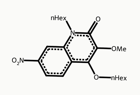 CCCCCCOc1c(OC)c(=O)n(CCCCCC)c2cc([N+](=O)[O-])ccc12